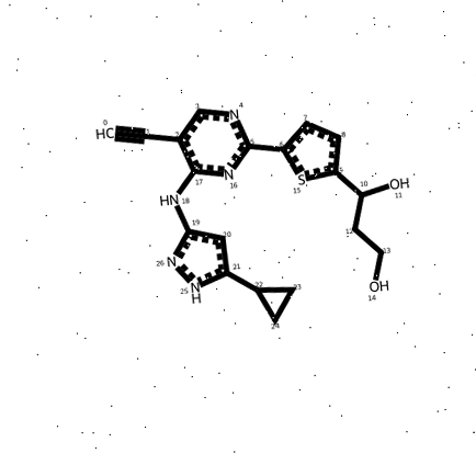 C#Cc1cnc(-c2ccc(C(O)CCO)s2)nc1Nc1cc(C2CC2)[nH]n1